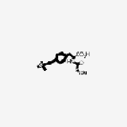 CC(C)(C)OC(=O)N[C@@H](Cc1ccc(C#C[Si](C)(C)C)cc1)C(=O)O